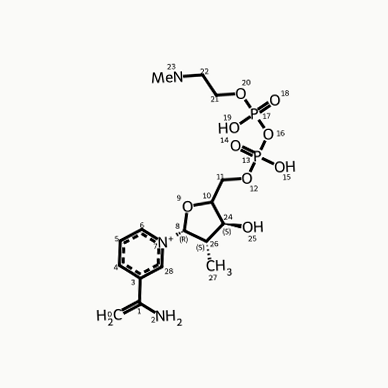 C=C(N)c1ccc[n+]([C@@H]2OC(COP(=O)(O)OP(=O)(O)OCCNC)[C@@H](O)[C@@H]2C)c1